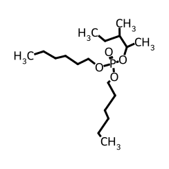 CCCCCCOP(=O)(OCCCCCC)OC(C)C(C)CC